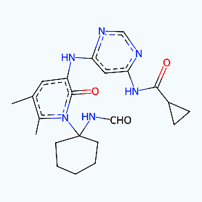 Cc1cc(Nc2cc(NC(=O)C3CC3)ncn2)c(=O)n(C2(NC=O)CCCCC2)c1C